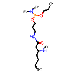 CC(C)CCCC(CC(=O)NCCCOP(OCCC#N)N(C(C)C)C(C)C)NC(C)C